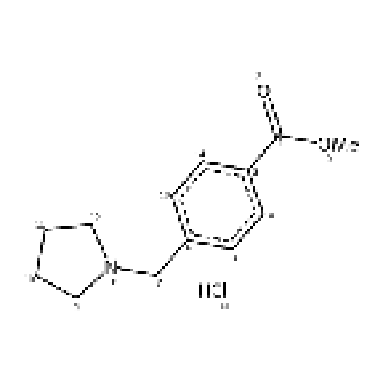 COC(=O)c1ccc(CN2CCCC2)cc1.Cl